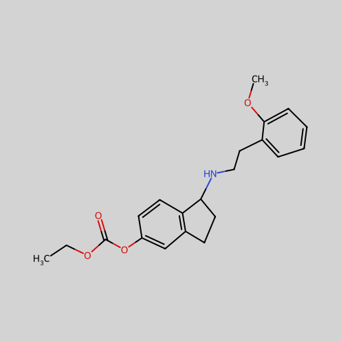 CCOC(=O)Oc1ccc2c(c1)CCC2NCCc1ccccc1OC